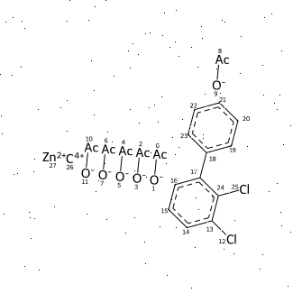 CC(=O)[O-].CC(=O)[O-].CC(=O)[O-].CC(=O)[O-].CC(=O)[O-].CC(=O)[O-].Clc1cccc(-c2ccccc2)c1Cl.[C+4].[Zn+2]